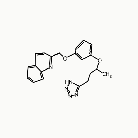 CC(CCc1nnn[nH]1)Oc1cccc(OCc2ccc3ccccc3n2)c1